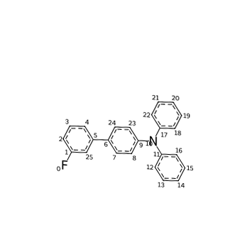 Fc1cccc(-c2ccc(N(c3ccccc3)c3ccccc3)cc2)c1